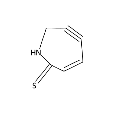 S=C1C=CC#CCN1